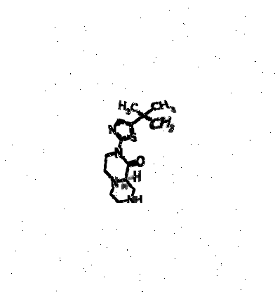 CC(C)(C)c1cnc(N2CCN3CCNC[C@@H]3C2=O)s1